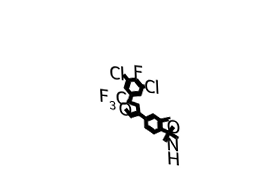 Fc1c(Cl)cc(C2(C(F)(F)F)CC(c3ccc4c(c3)COC43CNC3)=CO2)cc1Cl